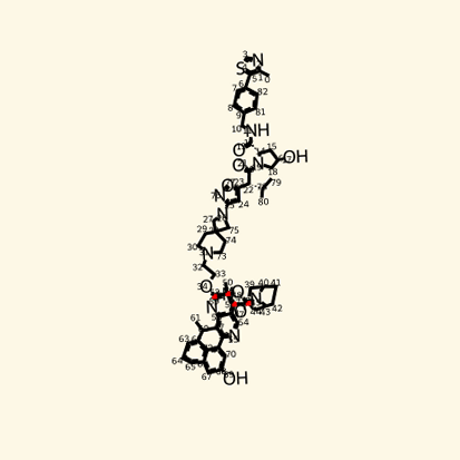 Cc1ncsc1-c1ccc(CNC(=O)[C@@H]2C[C@@H](O)CN2C(=O)[C@@H](c2cc(N3CC4(CCN(CCOc5nc(N6CC7CCC(C6)N7C(=O)OC(C)(C)C)c6cnc7c(c6n5)C(C)c5cccc6cc(O)cc-7c56)CC4)C3)no2)C(C)C)cc1